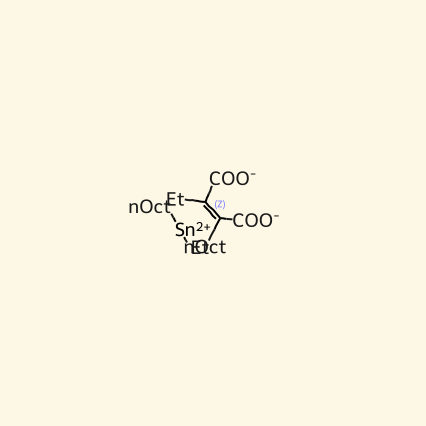 CC/C(C(=O)[O-])=C(\CC)C(=O)[O-].CCCCCCC[CH2][Sn+2][CH2]CCCCCCC